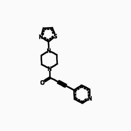 O=C(C#Cc1ccncc1)N1CCN(c2nccs2)CC1